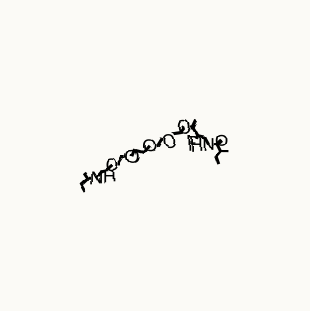 CCC(C)NCCOCCOCCOCCOCCOC(C)C(F)CNC(=O)C(C)CC